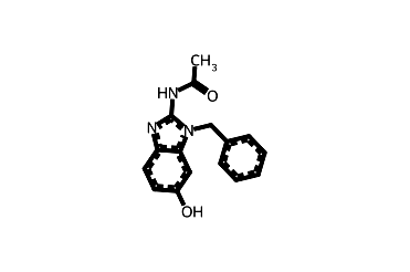 CC(=O)Nc1nc2ccc(O)cc2n1Cc1ccccc1